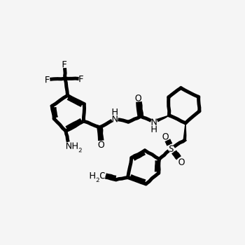 C=Cc1ccc(S(=O)(=O)C[C@@H]2CCCC[C@@H]2NC(=O)CNC(=O)c2cc(C(F)(F)F)ccc2N)cc1